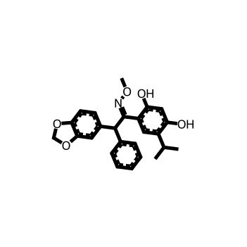 CON=C(c1cc(C(C)C)c(O)cc1O)C(c1ccccc1)c1ccc2c(c1)OCO2